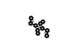 c1ccc2cc([Si](c3ccc(-c4cccc5c4sc4ccccc45)cc3)(c3ccc(-c4cccc5c4sc4ccccc45)cc3)c3ccc4ccccc4c3)ccc2c1